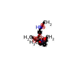 C=CCOC(=O)NCCc1ccc(OCC(=O)S[C@@H]2[C@@H]([C@@H](C)OC(=O)OCC=C)C(=O)N2C(C(=O)OCC=C)=P(c2ccccc2)(c2ccccc2)c2ccccc2)cc1